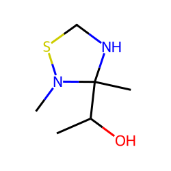 CC(O)C1(C)NCSN1C